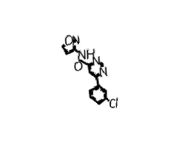 O=C(Nc1ccon1)c1cc(-c2cccc(Cl)c2)ncn1